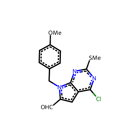 COc1ccc(Cn2c(C=O)cc3c(Cl)nc(SC)nc32)cc1